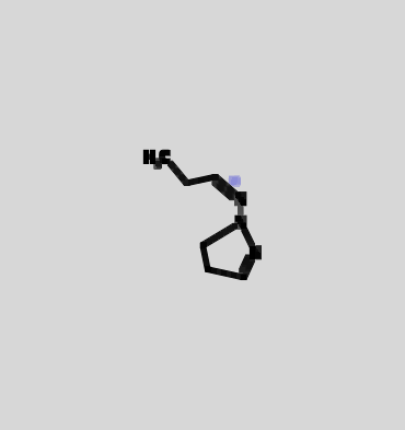 CC/C=N\N1CCC=N1